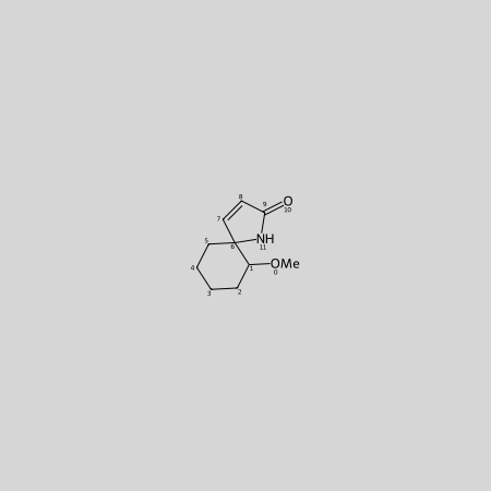 COC1CCCCC12C=CC(=O)N2